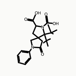 CC(C)(C)C1(C(C)(C)C)N(C(=O)O)C(C(=O)O)CC12CC(=O)N(c1ccccc1)C2